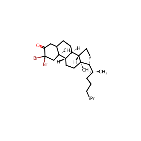 CC(C)CCC[C@@H](C)[C@H]1CC[C@H]2[C@@H]3CCC4CC(=O)C(Br)(Br)C[C@]4(C)[C@H]3CC[C@]12C